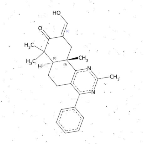 Cc1nc(-c2ccccc2)c2c(n1)[C@@]1(C)C/C(=C/O)C(=O)C(C)(C)[C@@H]1CC2